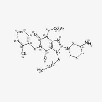 CC#CCn1c(N2CCCC(N)C2)nc2c1c(=O)n(Cc1ccccc1C#N)c(=O)n2CC(=O)OCC